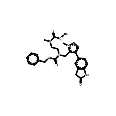 CN(CCN(Cc1c(-c2ccc3c(c2)CC(=O)N3)cnn1C)C(=O)OCc1ccccc1)C(=O)OC(C)(C)C